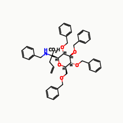 C=CCC(NCc1ccccc1)(C(=O)O)[C@@H]1O[C@H](COCc2ccccc2)[C@@H](OCc2ccccc2)[C@H](OCc2ccccc2)[C@H]1OCc1ccccc1